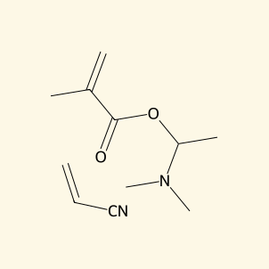 C=C(C)C(=O)OC(C)N(C)C.C=CC#N